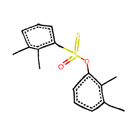 Cc1cccc(OS(=O)(=S)c2cccc(C)c2C)c1C